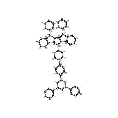 c1ccc(-c2nc(-c3ccccc3)nc(-c3ccc(-c4ccc(-n5c6c7ccccc7n(-c7ccccc7)c6c6c5c5ccccc5n6-c5ccccc5)cc4)cc3)n2)cc1